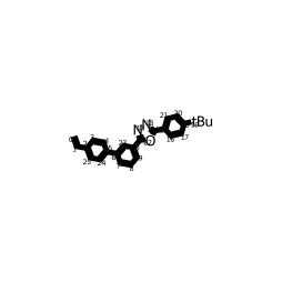 C=Cc1ccc(-c2cccc(-c3nnc(-c4ccc(C(C)(C)C)cc4)o3)c2)cc1